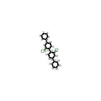 Clc1cc(-c2ccccc2)ccc1-c1ccc(-c2ccccc2)cc1Cl